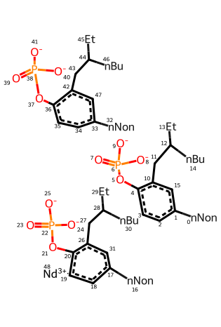 CCCCCCCCCc1ccc(OP(=O)([O-])[O-])c(CC(CC)CCCC)c1.CCCCCCCCCc1ccc(OP(=O)([O-])[O-])c(CC(CC)CCCC)c1.CCCCCCCCCc1ccc(OP(=O)([O-])[O-])c(CC(CC)CCCC)c1.[Nd+3]